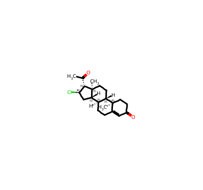 CC(=O)[C@H]1[C@H](Cl)C[C@H]2[C@@H]3CCC4=CC(=O)CC[C@]4(C)[C@H]3CC[C@@]21C